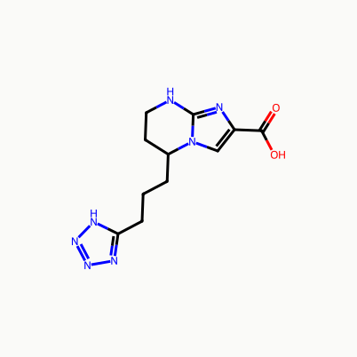 O=C(O)c1cn2c(n1)NCCC2CCCc1nnn[nH]1